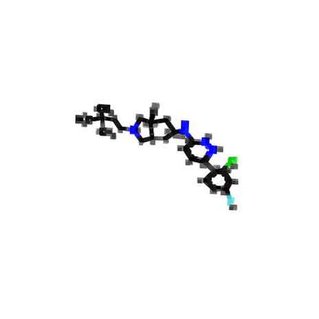 CC(C)(C)CCN1CC2C[C@H](Nc3ccc(-c4ccc(F)cc4Cl)nn3)C[C@H]2C1